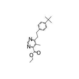 CCOC(=O)c1ncnc(CCc2ccc(C(C)(C)C)cc2)c1C